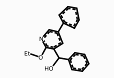 CCOc1ncc(-c2ccccc2)cc1C(O)c1ccccc1